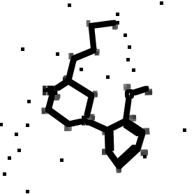 [CH2]CCCC1CN(c2ccccc2OC)CCN1